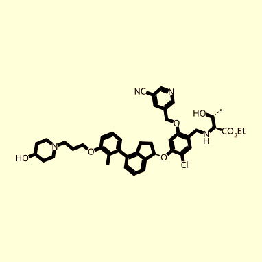 CCOC(=O)[C@@H](NCc1cc(Cl)c(O[C@H]2CCc3c(-c4cccc(OCCCN5CCC(O)CC5)c4C)cccc32)cc1OCc1cncc(C#N)c1)[C@@H](C)O